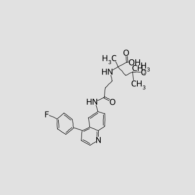 CC(C)(C)CC(C)(NCCC(=O)Nc1ccc2nccc(-c3ccc(F)cc3)c2c1)C(=O)O